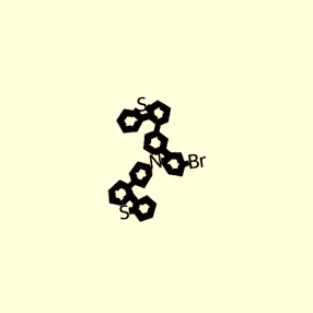 Brc1ccc2c(c1)c1cc(-c3cccc4sc5ccccc5c34)ccc1n2-c1ccc(-c2cccc3sc4ccccc4c23)cc1